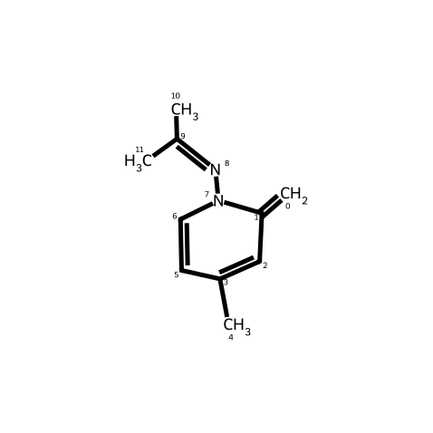 C=C1C=C(C)C=CN1N=C(C)C